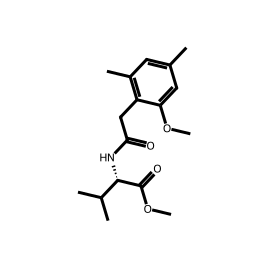 COC(=O)[C@@H](NC(=O)Cc1c(C)cc(C)cc1OC)C(C)C